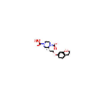 O=C(O)N1CCN(C(=O)O)[C@H](CCOc2ccc3c(c2)OCC3)C1